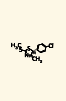 CSC1=N[C@H](C)[C@@H](c2ccc(Cl)cc2)S1